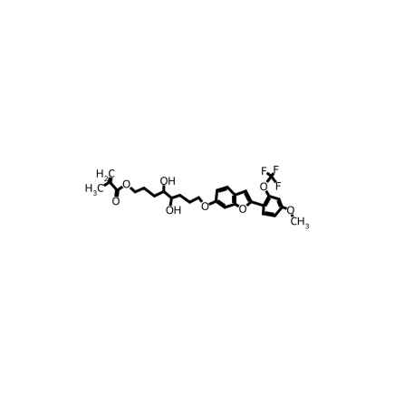 C=C(C)C(=O)OCCCC(O)C(O)CCCOc1ccc2cc(-c3ccc(OC)cc3OC(F)(F)F)oc2c1